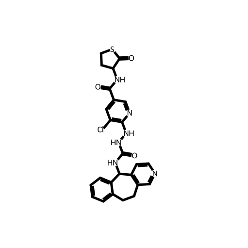 O=C(NNc1ncc(C(=O)NC2CCSC2=O)cc1Cl)NC1c2ccccc2CCc2cnccc21